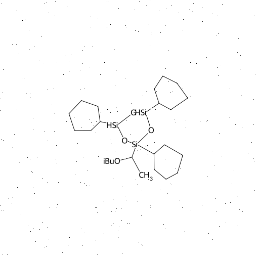 CC(C)COC(C)[Si]1(C2CCCCC2)O[SiH](C2CCCCC2)O[SiH](C2CCCCC2)O1